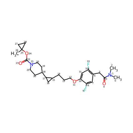 CN(C)C(=O)Cc1cc(F)c(OCCCC2CC2C2CCN(C(=O)OC3(C)CC3)CC2)cc1F